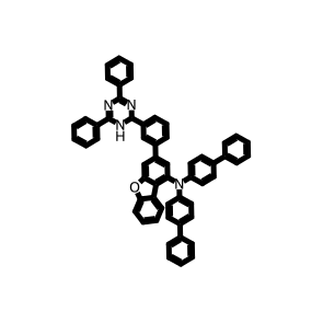 c1ccc(C2=NC(c3cccc(-c4cc(N(c5ccc(-c6ccccc6)cc5)c5ccc(-c6ccccc6)cc5)c5c(c4)oc4ccccc45)c3)NC(c3ccccc3)=N2)cc1